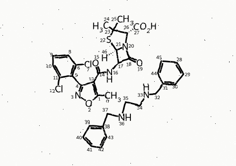 Cc1onc(-c2c(Cl)cccc2Cl)c1C(=O)N[C@@H]1C(=O)N2[C@@H]1SC(C)(C)[C@@H]2C(=O)O.c1ccc(CNCCNCc2ccccc2)cc1